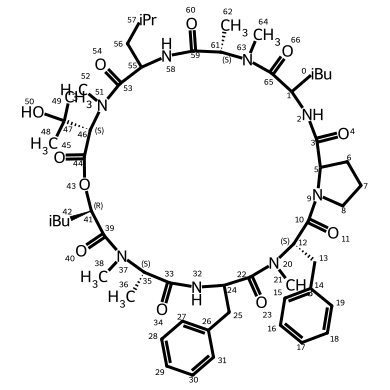 CCC(C)C1NC(=O)C2CCCN2C(=O)[C@H](Cc2ccccc2)N(C)C(=O)C(Cc2ccccc2)NC(=O)[C@H](C)N(C)C(=O)[C@@H](C(C)CC)OC(=O)[C@H](C(C)(C)O)N(C)C(=O)C(CC(C)C)NC(=O)[C@H](C)N(C)C1=O